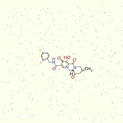 C[C@@H]1CC(=O)[C@H]2Cn3cc(C(=O)NCc4ccc(F)cc4F)c(=O)c(O)c3C(=O)N2C1